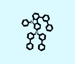 c1ccc(-c2cccc(-c3cccc4c3c3ccc(N(c5cccc(-c6ccccc6)c5)c5cccc(-c6ccccc6)c5)cc3n4-c3ccccc3)c2)cc1